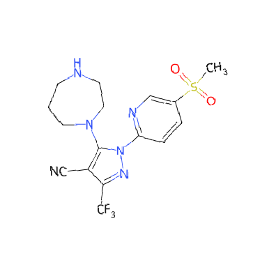 CS(=O)(=O)c1ccc(-n2nc(C(F)(F)F)c(C#N)c2N2CCCNCC2)nc1